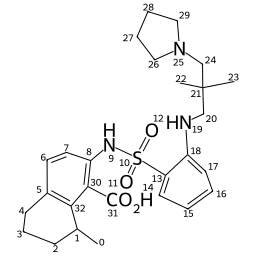 CC1CCCc2ccc(NS(=O)(=O)c3ccccc3NCC(C)(C)CN3CCCC3)c(C(=O)O)c21